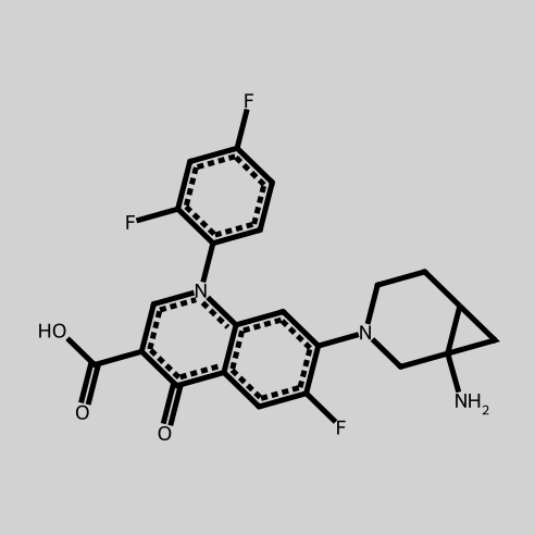 NC12CC1CCN(c1cc3c(cc1F)c(=O)c(C(=O)O)cn3-c1ccc(F)cc1F)C2